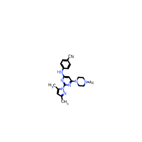 CC(=O)N1CCN(c2cc(Nc3ccc(C#N)cc3)nc(-n3nc(C)cc3C)n2)CC1